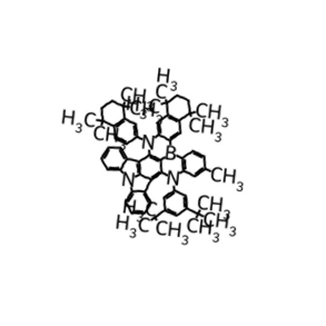 Cc1ccc2c(c1)N(c1cc(C(C)(C)C)cc(C(C)(C)C)c1)c1c3c(c4c5ccccc5n5c6ccccc6c1c45)N(c1ccc4c(c1)C(C)(C)CCC4(C)C)c1cc4c(cc1B23)C(C)(C)CCC4(C)C